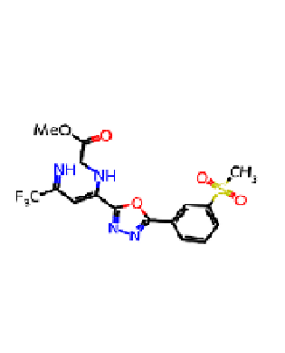 COC(=O)CN/C(=C\C(=N)C(F)(F)F)c1nnc(-c2cccc(S(C)(=O)=O)c2)o1